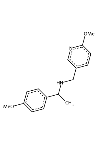 COc1ccc(C(C)NCc2ccc(OC)nc2)cc1